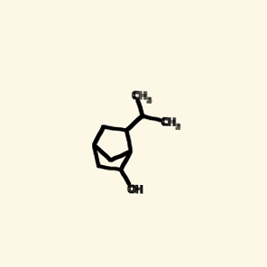 C[C](C)C1CC2CC(O)C1C2